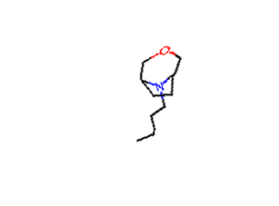 CCCCN1C2CCC1COC2